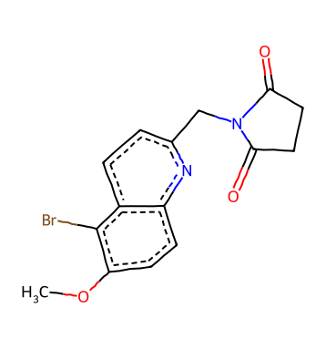 COc1ccc2nc(CN3C(=O)CCC3=O)ccc2c1Br